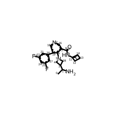 CC(N)C1CN(c2c(C(=O)NC34CC(C3)C4)cncc2-c2cc(F)cc(F)c2)C1